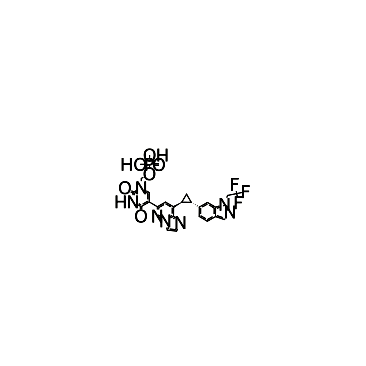 O=c1[nH]c(=O)n(COP(=O)(O)O)cc1-c1cc([C@H]2C[C@@H]2c2ccc3cnn(CC(F)(F)F)c3c2)c2nccn2n1